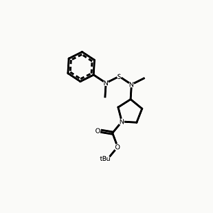 CN(SN(C)C1CCN(C(=O)OC(C)(C)C)C1)c1ccccc1